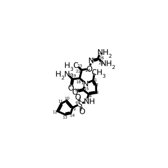 Cc1ccc(NS(=O)(=O)c2ccccc2)c(=O)n1C(C(N)=O)C(C)ON=C(N)N